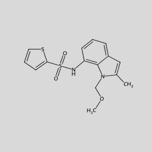 COCn1c(C)cc2cccc(NS(=O)(=O)c3cccs3)c21